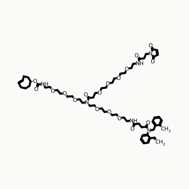 C=Cc1ccccc1N(Cc1ccccc1C)C(=O)CCC(=O)NCCOCCOCCOCCN(CCOCCOCCOCCNC(=O)O[C@H]1CC/C=C/CCC1)C(=O)CCOCCOCCOCCOCCNC(=O)CCN1C(=O)C=CC1=O